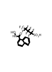 O=C(NO)c1cccc2ccccc12.O=S(=O)(O)C(F)(F)C(F)(F)C(F)(F)C(F)(F)F